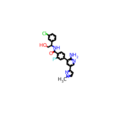 Cn1ccc(-c2cnc(N)c(-c3ccc(C(=O)NC(CO)c4cccc(Cl)c4)c(F)c3)c2)n1